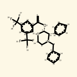 C=C(O[C@H]1OCCN(Cc2ccccc2)[C@H]1c1ccccc1)c1cc(C(F)(F)F)cc(C(F)(F)F)c1